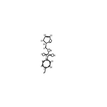 Cc1ccc(S(=O)(=O)OC[C@H]2CC=CO2)cc1